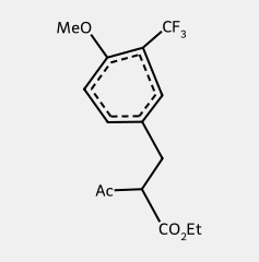 CCOC(=O)C(Cc1ccc(OC)c(C(F)(F)F)c1)C(C)=O